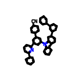 N#Cc1ccc(-c2cc(-c3cccc(-c4ccccc4)n3)cc(-n3c4ccccc4c4ccc(-c5cccc(-c6ccccc6)c5)cc43)c2)cc1